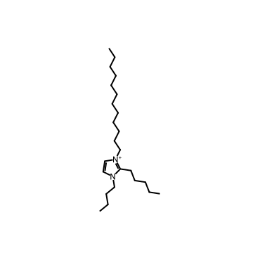 CCCCCCCCCCCC[n+]1ccn(CCCC)c1CCCCC